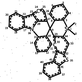 C[Si]1(C)c2ccccc2C2(c3ccccc3-n3c4ccccc4c4cccc2c43)c2cc3c(cc21)sc1ccccc13